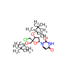 C[C@H]1C(O[Si](C)(C)C(C)(C)C)[C@@](CCl)(CO[Si](C)(C)C(C)(C)C)O[C@H]1n1ccc(=O)[nH]c1=O